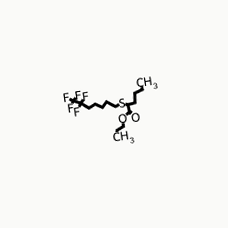 CCCCC(SCCCCCC(F)(F)C(F)(F)F)C(=O)OCCC